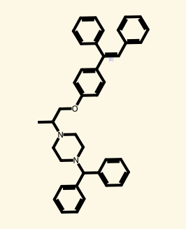 CC(COc1ccc(/C(=C/c2ccccc2)c2ccccc2)cc1)N1CCN(C(c2ccccc2)c2ccccc2)CC1